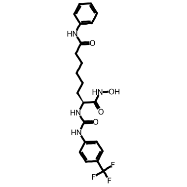 O=C(CCCCC[C@H](NC(=O)Nc1ccc(C(F)(F)F)cc1)C(=O)NO)Nc1ccccc1